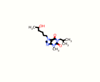 CC(C)Cn1c(=O)c2c(ncn2CCCCC(C)O)n(C)c1=O